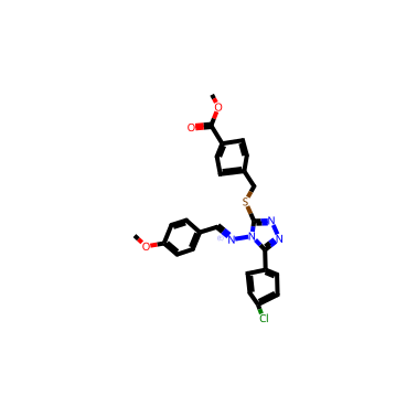 COC(=O)c1ccc(CSc2nnc(-c3ccc(Cl)cc3)n2/N=C/c2ccc(OC)cc2)cc1